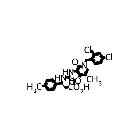 Cc1ccc([C@H](CC(=O)O)NC(=O)Nc2c(O)c(C)cn(Cc3ccc(Cl)cc3Cl)c2=O)cc1